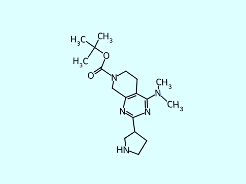 CN(C)c1nc(C2CCNC2)nc2c1CCN(C(=O)OC(C)(C)C)C2